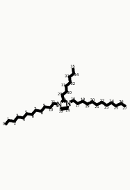 CCCCCCCCCCCCN1C=CN(CCCCCCCCCCCC)C1CCCCCCC